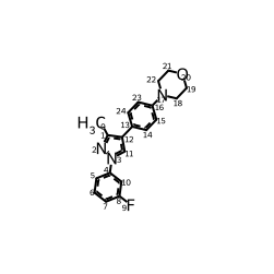 Cc1nn(-c2cccc(F)c2)cc1-c1ccc(N2CCOCC2)cc1